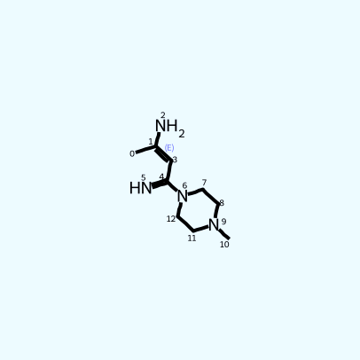 C/C(N)=C\C(=N)N1CCN(C)CC1